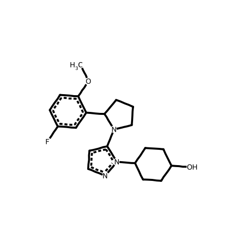 COc1ccc(F)cc1C1CCCN1c1ccnn1C1CCC(O)CC1